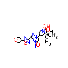 CC(C)(C)C1CC(c2cc(=O)[nH]c3c(-c4noc(C5CCOCC5)n4)cnn23)CCN1C(=O)O